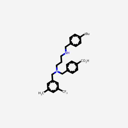 Cc1cc(CN(CCCNCc2ccc(C(C)(C)C)cc2)Cc2ccc(C(=O)O)cc2)cc(C(F)(F)F)c1